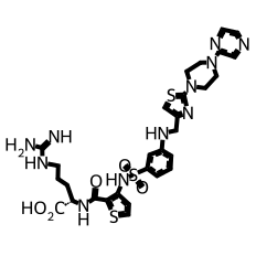 N=C(N)NCCC[C@H](NC(=O)c1sccc1NS(=O)(=O)c1cccc(NCc2csc(N3CCN(c4cnccn4)CC3)n2)c1)C(=O)O